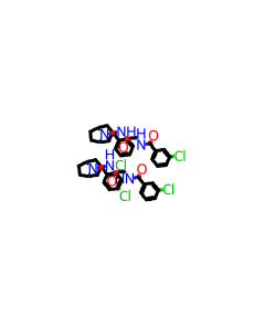 O=C(CNC(=O)c1cccc(Cl)c1)NC1CC2CCC(C1)N2Cc1ccc(Cl)cc1Cl.O=C(CNC(=O)c1cccc(Cl)c1)NC1CC2CCC(C1)N2Cc1ccccc1